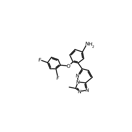 Cc1nnc2ccc(-c3cc(N)ccc3Oc3ccc(F)cc3F)nn12